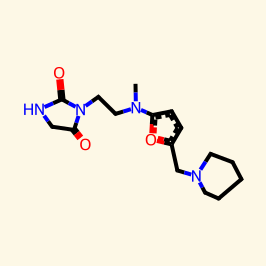 CN(CCN1C(=O)CNC1=O)c1ccc(CN2CCCCC2)o1